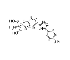 CCCc1ccc(-c2nc(-c3ccc4oc(C(N)(CO)CO)cc4c3)no2)cn1